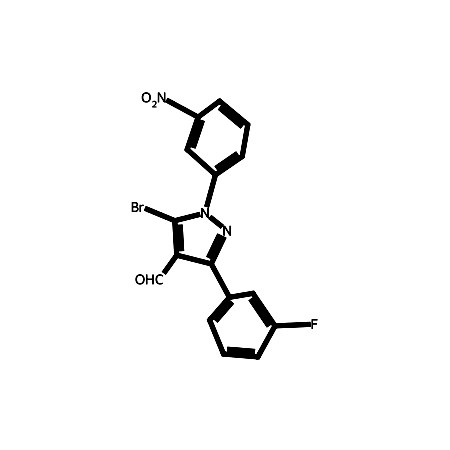 O=Cc1c(-c2cccc(F)c2)nn(-c2cccc([N+](=O)[O-])c2)c1Br